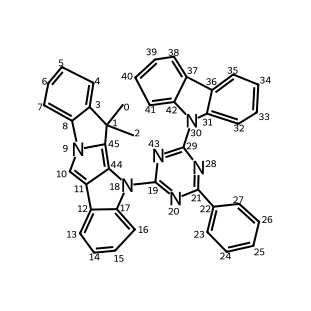 CC1(C)c2ccccc2-n2cc3c4ccccc4n(-c4nc(-c5ccccc5)nc(-n5c6ccccc6c6ccccc65)n4)c3c21